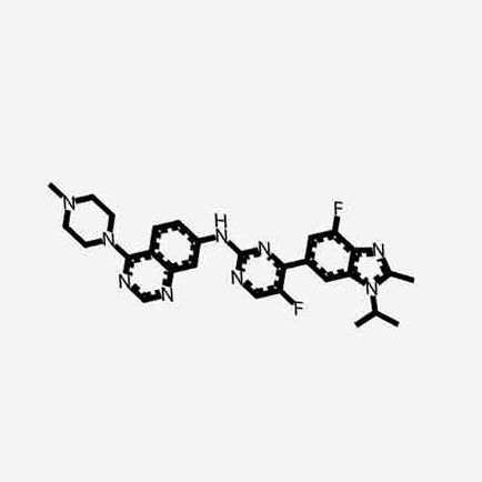 Cc1nc2c(F)cc(-c3nc(Nc4ccc5c(N6CCN(C)CC6)ncnc5c4)ncc3F)cc2n1C(C)C